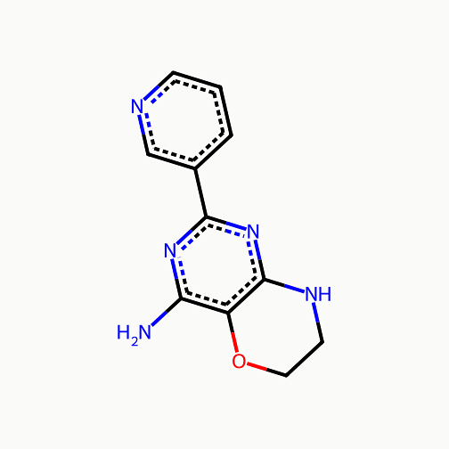 Nc1nc(-c2cccnc2)nc2c1OCCN2